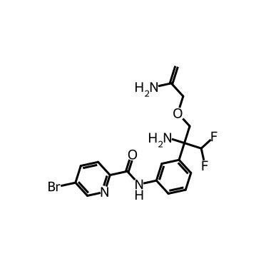 C=C(N)COCC(N)(c1cccc(NC(=O)c2ccc(Br)cn2)c1)C(F)F